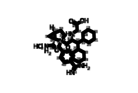 Cl.N=C(N)c1ccc(C[N+]2(C(=O)[C@H](NCC(=O)O)C(C3CCCCC3)C3CCCCC3)CC[C@@H]3C[C@@]32C(N)=O)cc1